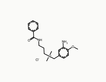 COc1ccc(C[N+](C)(C)CCCNC(=O)c2ccccc2)cc1N.[Cl-]